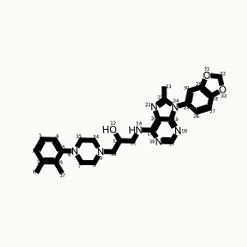 Cc1cccc(N2CCN(CC(O)CNc3ncnc4c3nc(C)n4-c3ccc4c(c3)OCO4)CC2)c1C